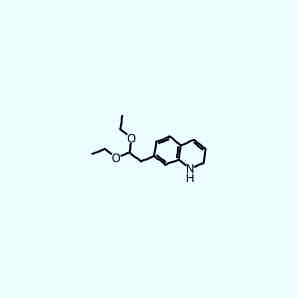 CCOC(Cc1ccc2c(c1)NCC=C2)OCC